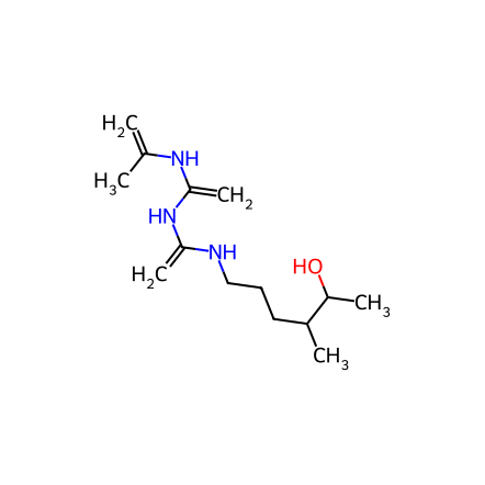 C=C(C)NC(=C)NC(=C)NCCCC(C)C(C)O